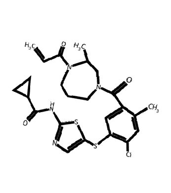 C=CC(=O)N1CCCN(C(=O)c2cc(Sc3cnc(NC(=O)C4CC4)s3)c(Cl)cc2C)CC1C